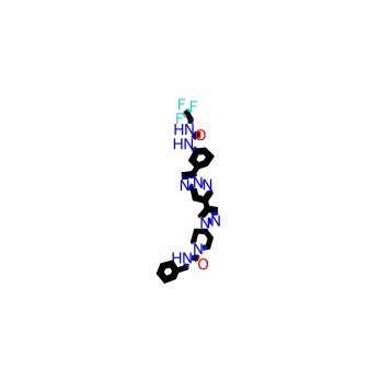 O=C(NCC(F)(F)F)Nc1cccc(-c2cnc3cc(-c4cnn(C5CCN(C(=O)NCc6ccccc6)CC5)c4)cnn23)c1